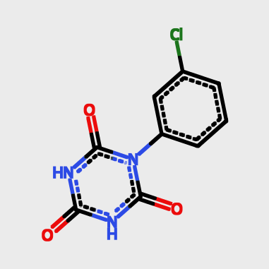 O=c1[nH]c(=O)n(-c2cccc(Cl)c2)c(=O)[nH]1